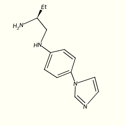 CC[C@H](N)CNc1ccc(-n2ccnc2)cc1